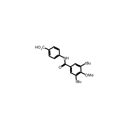 COc1c(C(C)(C)C)cc(C(=O)Nc2ccc(C(=O)O)cc2)cc1C(C)(C)C